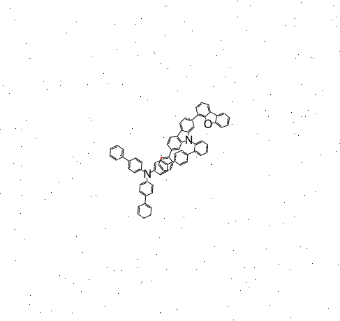 C1=CC(c2ccc(N(c3ccc(-c4ccccc4)cc3)c3ccc(-c4ccc(-c5ccccc5-n5c6cc(-c7ccccc7)ccc6c6ccc(-c7cccc8c7oc7ccccc78)cc65)cc4)cc3)cc2)=CCC1